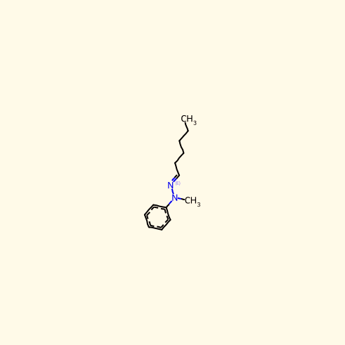 CCCCC/C=N/N(C)c1ccccc1